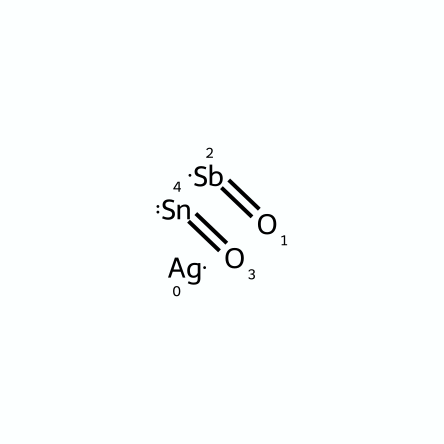 [Ag].[O]=[Sb].[O]=[Sn]